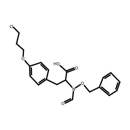 O=CN(OCc1ccccc1)C(Cc1ccc(OCCCCl)cc1)C(=O)O